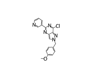 COc1ccc(Cn2cc3nc(-c4cccnc4)nc(Cl)c3n2)cc1